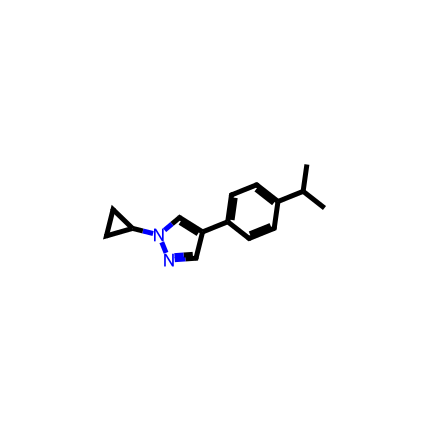 CC(C)c1ccc(-c2cnn(C3CC3)c2)cc1